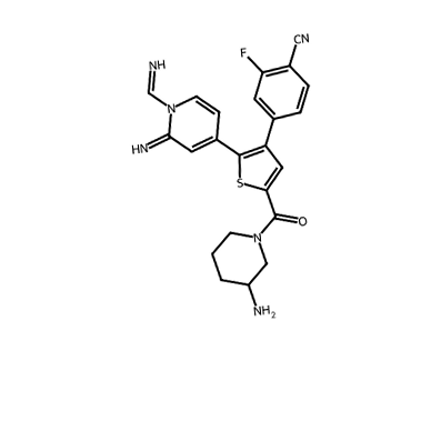 N#Cc1ccc(-c2cc(C(=O)N3CCCC(N)C3)sc2-c2ccn(C=N)c(=N)c2)cc1F